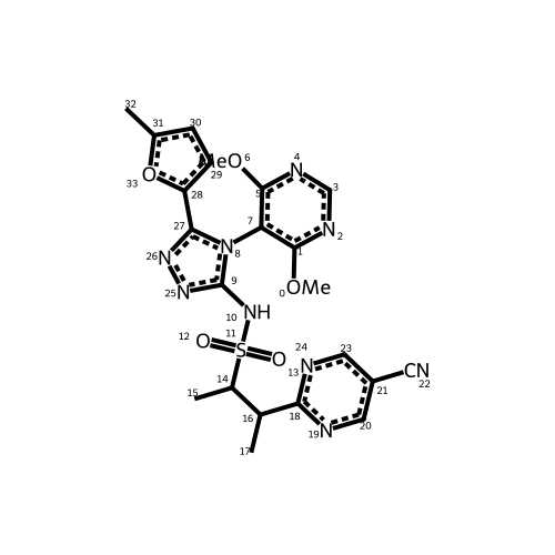 COc1ncnc(OC)c1-n1c(NS(=O)(=O)C(C)C(C)c2ncc(C#N)cn2)nnc1-c1ccc(C)o1